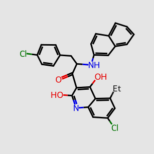 CCc1cc(Cl)cc2nc(O)c(C(=O)C(Cc3ccc(Cl)cc3)Nc3ccc4ccccc4c3)c(O)c12